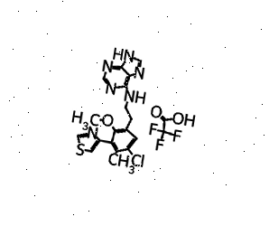 COc1c(CCNc2ncnc3[nH]cnc23)cc(Cl)c(C)c1-c1cscn1.O=C(O)C(F)(F)F